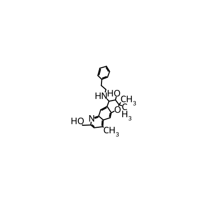 Cc1cc(CO)nc2cc3c(cc12)OC(C)(C)C(O)C3NCCc1ccccc1